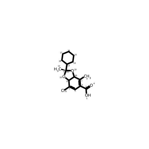 CC1=C(C(=O)O)C=C(Cl)C2O[C@](C)(C3CCCCC3)OC12